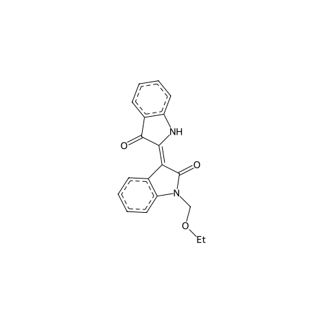 CCOCN1C(=O)/C(=C2\Nc3ccccc3C2=O)c2ccccc21